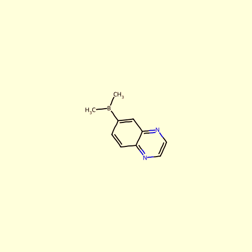 CB(C)c1ccc2nccnc2c1